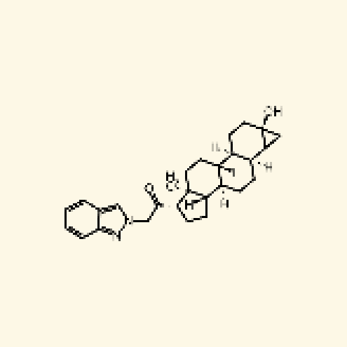 C[C@]12CC[C@@H]3[C@H]4CC[C@]5(O)CC5[C@H]4CC[C@H]3[C@@H]1CC[C@@H]2C(=O)Cn1cc2ccccc2n1